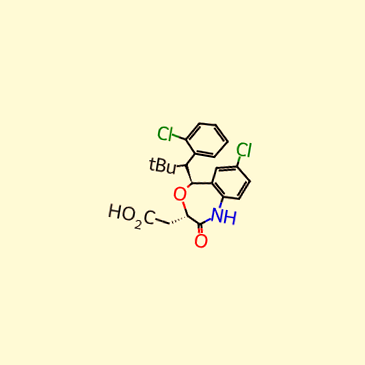 CC(C)(C)C(c1ccccc1Cl)[C@@H]1O[C@@H](CC(=O)O)C(=O)Nc2ccc(Cl)cc21